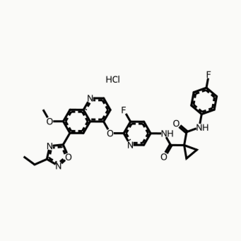 CCc1noc(-c2cc3c(Oc4ncc(NC(=O)C5(C(=O)Nc6ccc(F)cc6)CC5)cc4F)ccnc3cc2OC)n1.Cl